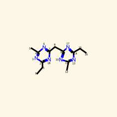 CCc1nc(C)nc(Cc2nc(C)nc(CC)n2)n1